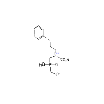 CC(C)CP(=O)(O)C/C(=C\CCc1ccccc1)C(=O)O